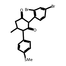 CSc1ccc(C2C(=O)C(c3ccc(Br)cc3Br)C(=O)CC2C)cc1